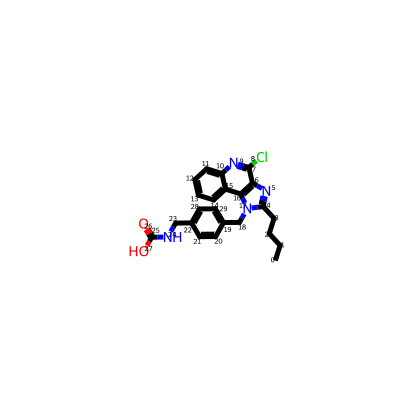 CCCCc1nc2c(Cl)nc3ccccc3c2n1Cc1ccc(CNC(=O)O)cc1